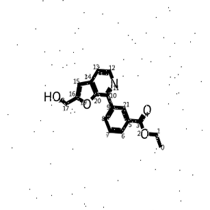 CCOC(=O)c1cccc(-c2nccc3cc(CO)oc23)c1